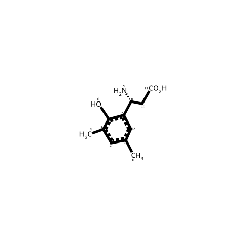 Cc1cc(C)c(O)c([C@H](N)CC(=O)O)c1